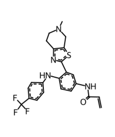 C=CC(=O)Nc1ccc(Nc2ccc(C(F)(F)F)cc2)c(-c2nc3c(s2)CN(C)CC3)c1